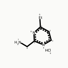 CCc1ccnc(CN)n1.Cl